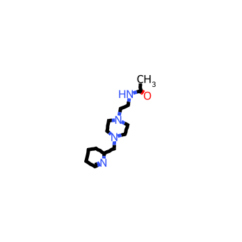 CC(=O)NCCN1CCN(CC2CCCC=N2)CC1